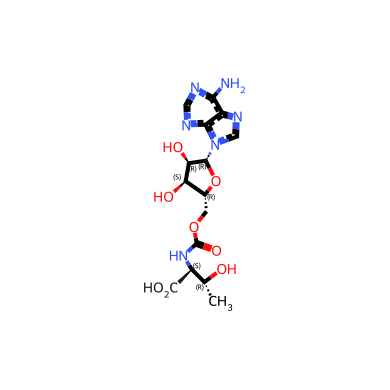 C[C@@H](O)[C@H](NC(=O)OC[C@H]1O[C@@H](n2cnc3c(N)ncnc32)[C@H](O)[C@@H]1O)C(=O)O